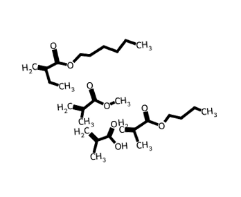 C=C(C)C(=O)O.C=C(C)C(=O)OC.C=C(C)C(=O)OCCCC.C=C(CC)C(=O)OCCCCCC